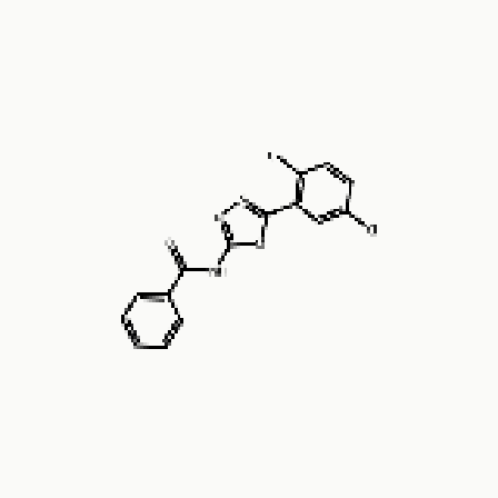 O=C(Nc1nnc(-c2cc(Cl)ccc2Cl)o1)c1ccccc1